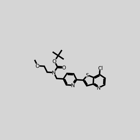 COCCN(Cc1ccc(-c2cc3nccc(Cl)c3s2)nc1)C(=O)OC(C)(C)C